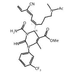 C=C/C(C#N)=C\C=C(/CCCN(C)C(C)=O)[C@@H]1C(C(=O)OC)=C(C)N(c2cccc(C(F)(F)F)c2)C(=N)N1C(N)=O